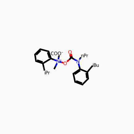 CCCN(C(=O)O[N+](C)(C(=O)[O-])c1ccccc1C(C)C)c1ccccc1C(C)CC